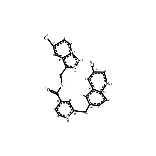 O=C(NCc1nnn2ccc(Cl)cc12)c1ccnc(Cc2ccc3ncc(Cl)cc3c2)c1